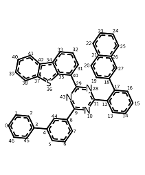 c1ccc(-c2cccc(-c3nc(-c4ccccc4-c4ccc5ccccc5c4)nc(-c4cccc5c4sc4ccccc45)n3)c2)cc1